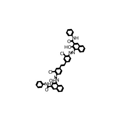 O=C(Nc1ccccc1)c1cc2ccccc2c(N=Nc2ccc(C=Cc3ccc(N=Nc4c(O)c(C(=O)Nc5ccccc5)cc5ccccc45)c(Cl)c3)cc2Cl)c1O